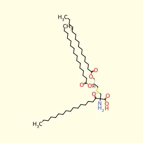 CCCCCCCCCCCCCCCC(=O)OC[C@H](CSCC(N)(C(=O)O)C(=O)CCCCCCCCCCCCCCC)OC(=O)CCCCCCCCCCCCCCC